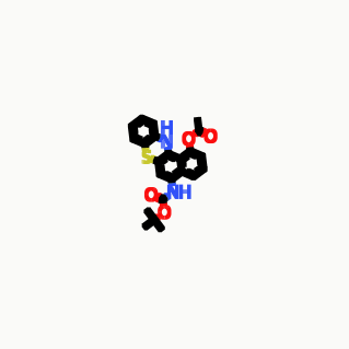 CC(=O)Oc1cccc2c(NC(=O)OC(C)(C)C)cc3c(c12)Nc1ccccc1S3